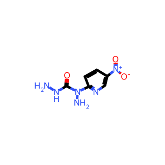 NNC(=O)N(N)c1ccc([N+](=O)[O-])cn1